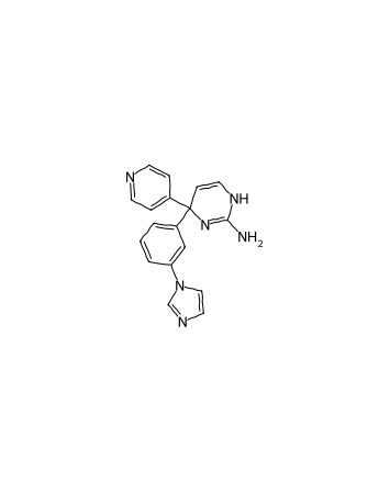 NC1=NC(c2ccncc2)(c2cccc(-n3ccnc3)c2)C=CN1